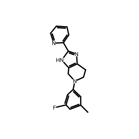 Cc1cc(F)cc(N2CCc3nc(-c4ccccn4)[nH]c3C2)c1